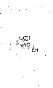 OCCOc1c[c]ccc1Cl